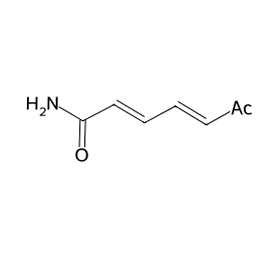 CC(=O)C=CC=CC(N)=O